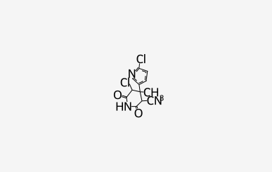 CC1(c2ccc(Cl)nc2)C(Cl)C(=O)NC(=O)C1C#N